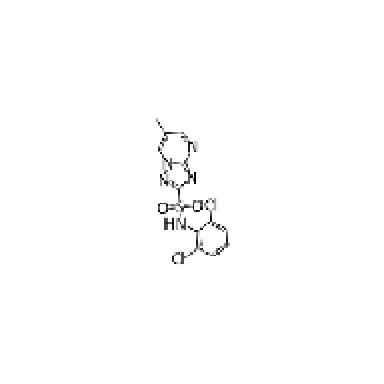 Cc1cnc2nc(S(=O)(=O)Nc3c(Cl)cccc3Cl)nn2c1